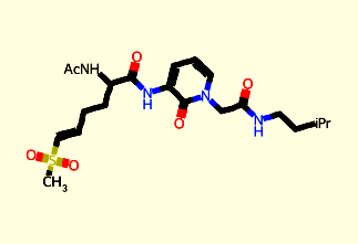 CC(=O)NC(CCC=CS(C)(=O)=O)C(=O)Nc1cccn(CC(=O)NCCC(C)C)c1=O